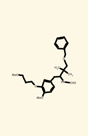 COCCCOc1cc(CC(NC=O)C(C)(C)COCc2ccccc2)ccc1OC